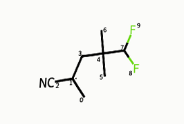 C[C](C#N)CC(C)(C)C(F)F